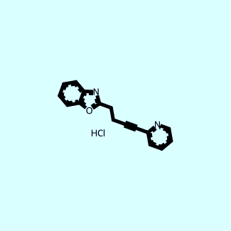 C(#Cc1ccccn1)CCc1nc2ccccc2o1.Cl